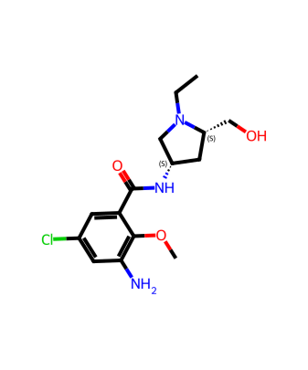 CCN1C[C@@H](NC(=O)c2cc(Cl)cc(N)c2OC)C[C@H]1CO